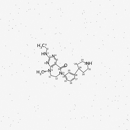 CCNc1ncc2c(n1)N(C)CCN(c1cccc(C3CCNCC3)c1)C2=O